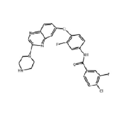 O=C(Nc1ccc(Oc2ccc3ncc(N4CCNCC4)nc3c2)c(F)c1)c1ccc(Cl)c(F)c1